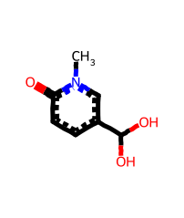 Cn1cc(C(O)O)ccc1=O